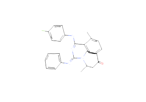 Cc1ccccc1/C(=N\C(=N/c1ccccc1)N1CCC(=O)CC1C)Nc1ccc(F)cc1